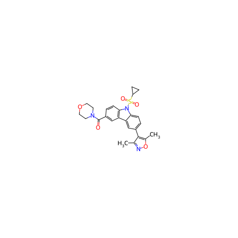 Cc1noc(C)c1-c1ccc2c(c1)c1cc(C(=O)N3CCOCC3)ccc1n2S(=O)(=O)C1CC1